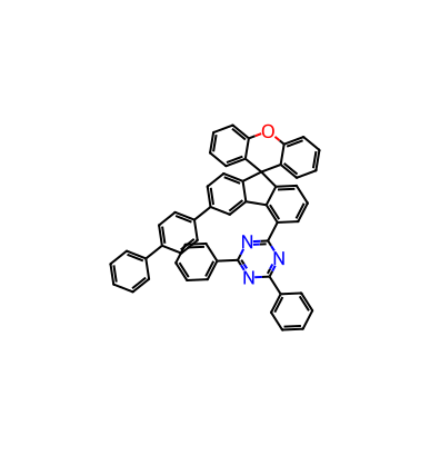 c1ccc(-c2ccc(-c3ccc4c(c3)-c3c(-c5nc(-c6ccccc6)nc(-c6ccccc6)n5)cccc3C43c4ccccc4Oc4ccccc43)cc2)cc1